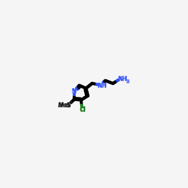 CSc1ncc(CNCCN)cc1Cl